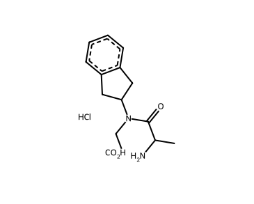 CC(N)C(=O)N(CC(=O)O)C1Cc2ccccc2C1.Cl